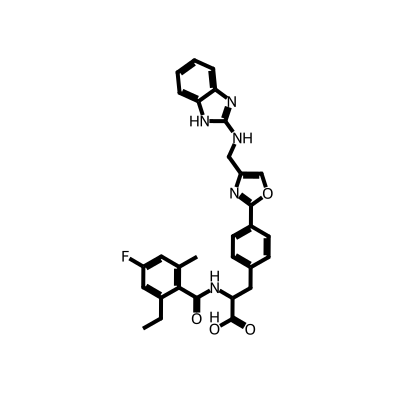 CCc1cc(F)cc(C)c1C(=O)NC(Cc1ccc(-c2nc(CNc3nc4ccccc4[nH]3)co2)cc1)C(=O)O